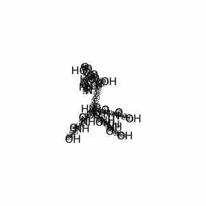 COP(=O)(O)OC[C@H]1C[C@@H](n2cnc3c(C)ncnc32)C[C@@H]1OP(=O)(O)OC[C@@H]1C[C@@H](O)CN1C(=O)CCCCCCCCC(=O)NC(COCCC(=O)NCCCNC(=O)CCCCO)(COCCC(=O)NCCCNC(=O)CCCCO)COCCC(=O)NCCCNC(=O)CCCCO